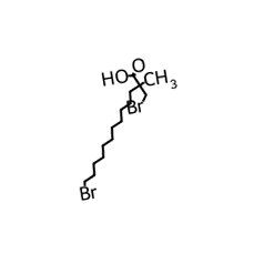 CC(CBr)(CCCCCCCCCCCBr)C(=O)O